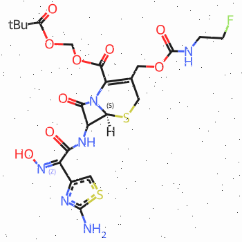 CC(C)(C)C(=O)OCOC(=O)C1=C(COC(=O)NCCF)CS[C@H]2C(NC(=O)/C(=N\O)c3csc(N)n3)C(=O)N12